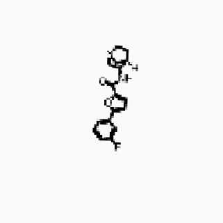 O=C(NC1CN2CC[C@H]1C2)c1ccc(-c2cccc(F)c2)o1